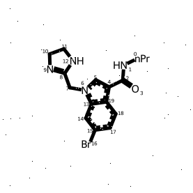 CCCNC(=O)c1cn(CC2=NCCN2)c2cc(Br)ccc12